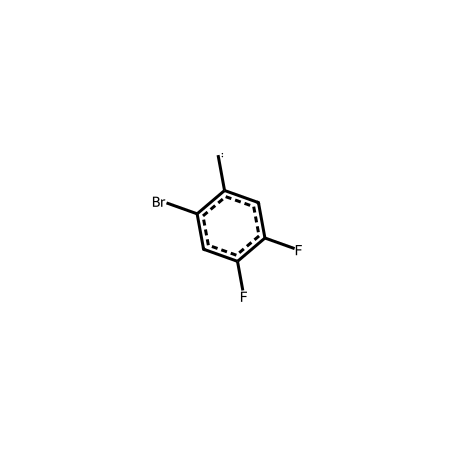 [CH]c1cc(F)c(F)cc1Br